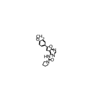 COc1ccc(-c2cc3c(NC(=O)N4CCCC4)ncnc3o2)cc1